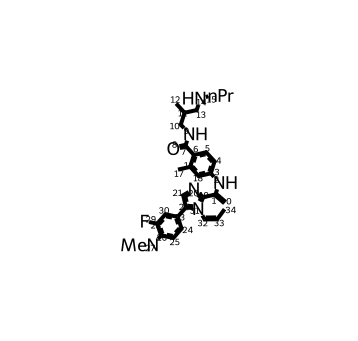 C=C(Nc1ccc(C(=O)NCC(C)CNCCC)c(C)c1)c1ncc(-c2ccc(NC)c(F)c2)n1/C=C\C